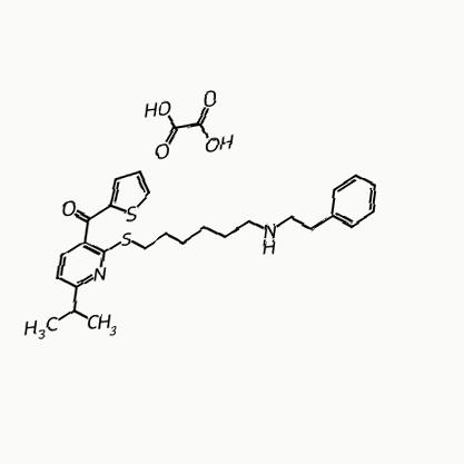 CC(C)c1ccc(C(=O)c2cccs2)c(SCCCCCCNCCc2ccccc2)n1.O=C(O)C(=O)O